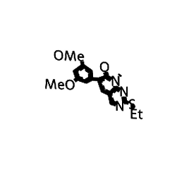 CCSc1ncc2cc(-c3cc(OC)cc(OC)c3)c(=O)n(C)c2n1